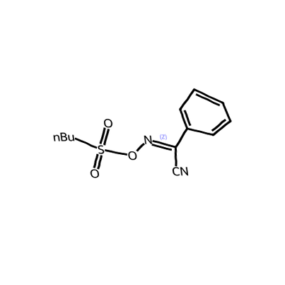 CCCCS(=O)(=O)O/N=C(\C#N)c1ccccc1